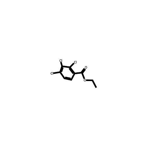 CCOC(=O)c1ccc(Cl)c(Cl)c1Cl